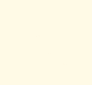 [CH2]COCCOCCOCC(C)C